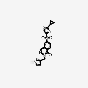 O=c1c2ccc(S(=O)(=O)c3csc(C4CC4)n3)cc2cnn1Cc1cc[nH]n1